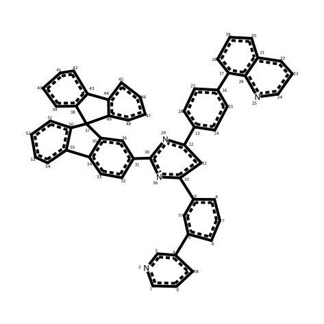 c1cncc(-c2cccc(-c3cc(-c4ccc(-c5cccc6cccnc56)cc4)nc(-c4ccc5c(c4)C4(c6ccccc6-c6ccccc64)c4ccccc4-5)n3)c2)c1